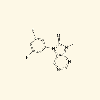 Cn1c(=O)n(-c2cc(F)cc(F)c2)c2cncnc21